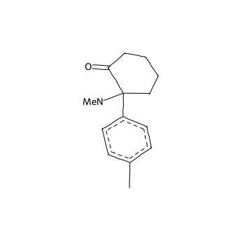 CNC1(c2ccc(C)cc2)CCCCC1=O